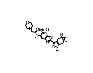 COc1nc2[nH]c(-c3n[nH]c4c3C[C@@H]3C[C@]3(C)C4)nc2cc1N(C)C(=O)CN1CCOCC1